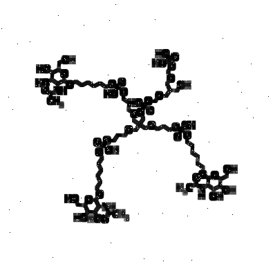 CC(=O)NC1C(OCCCCCCOP(=O)(O)OCCCOCC(COCCCOP(=O)(O)OCCCCCCOC2OC(CO)C(O)C(O)C2NC(C)=O)(COCCCOP(=O)(O)OCCCCCCOC2OC(CO)C(O)C(O)C2NC(C)=O)COP(=O)(O)OCOCC(CO)COCOP(=O)(O)O)OC(CO)C(O)C1O